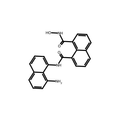 Nc1cccc2cccc(NC(=O)c3cccc4cccc(C(=O)NO)c34)c12